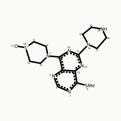 CSc1ncnc2c(N3CC[S+]([O-])CC3)nc(N3CCNCC3)nc12